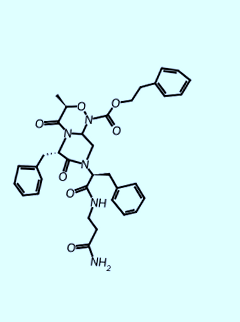 C[C@H]1ON(C(=O)OCCc2ccccc2)C2CN([C@@H](Cc3ccccc3)C(=O)NCCC(N)=O)C(=O)[C@H](Cc3ccccc3)N2C1=O